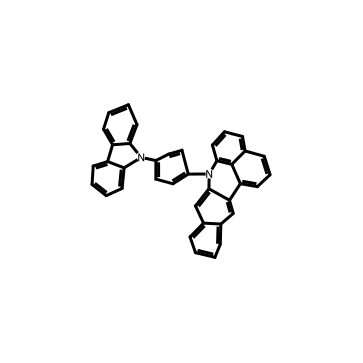 c1ccc2cc3c(cc2c1)-c1cccc2cccc(c12)N3c1ccc(-n2c3ccccc3c3ccccc32)cc1